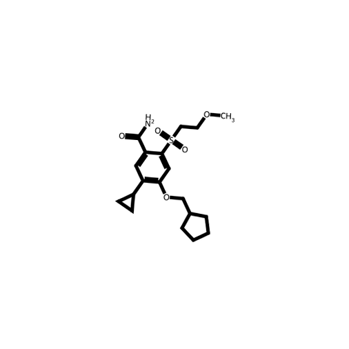 COCCS(=O)(=O)c1cc(OCC2CCCC2)c(C2CC2)cc1C(N)=O